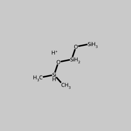 C[SiH](C)O[SiH2]O[SiH3].[H+]